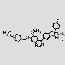 CCN1CCC(COc2cc3ncnc(-c4ccc(CC(C)(C(N)=O)c5ccc(F)cc5)cc4)c3cc2OC)CC1